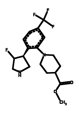 COC(=O)C1CCN(c2cc(C(F)(F)F)ccc2[C@H]2CNCC2F)CC1